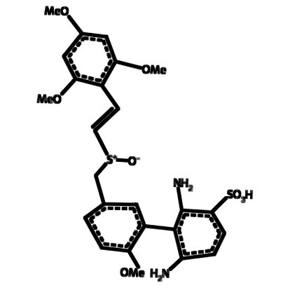 COc1cc(OC)c(C=C[S+]([O-])Cc2ccc(OC)c(-c3c(N)ccc(S(=O)(=O)O)c3N)c2)c(OC)c1